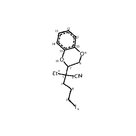 CCC(C#N)(CCCI)C1COc2ccccc2O1